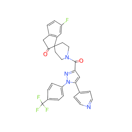 O=C(c1cc(-c2ccncc2)n(-c2ccc(C(F)(F)F)cc2)n1)N1CCC2(CC1)C(=O)Cc1ccc(F)cc12